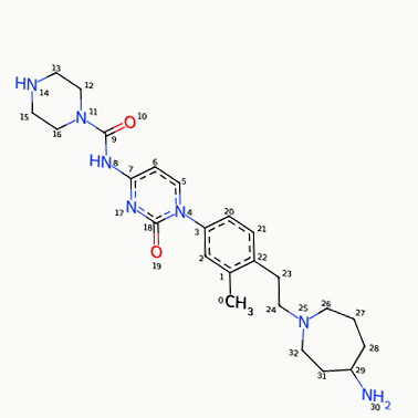 Cc1cc(-n2ccc(NC(=O)N3CCNCC3)nc2=O)ccc1CCN1CCCC(N)CC1